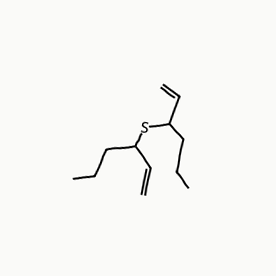 C=CC(CCC)SC(C=C)CCC